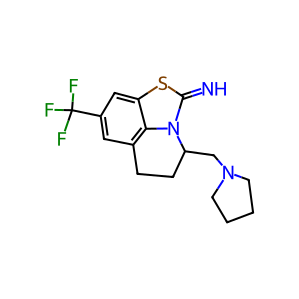 N=c1sc2cc(C(F)(F)F)cc3c2n1C(CN1CCCC1)CC3